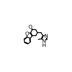 Cc1[nH]cnc1CC1CC(=O)c2oc3ccccc3c2C1